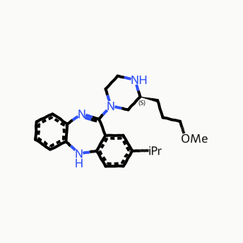 COCCC[C@H]1CN(C2=Nc3ccccc3Nc3ccc(C(C)C)cc32)CCN1